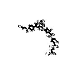 Cn1cc(NC(=O)c2cc(NC(=O)C3=CC(c4ccc([S+]([O-])CCCl)cc4)=C[N+]3(C)NC=O)cn2C)cc1C(=O)NCCC(N)=O